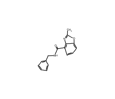 Cc1nc2c(C(=O)NCc3ccccc3)cccc2o1